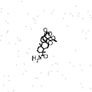 C=CC(=O)C12C(=O)OC(=O)C1C1CC3C4(C)CCCC(C)(C(N)=O)C4CCC32C=C1C(C)C